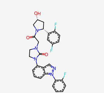 O=C1N(CC(=O)N2C[C@H](O)C[C@@H]2c2cc(F)ccc2F)CCN1c1cccc2c1cnn2-c1ccccc1F